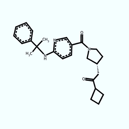 CC(C)(Nc1ccc(C(=O)N2CC[C@H](CC(=O)C3CCC3)C2)cn1)c1ccccc1